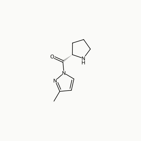 Cc1ccn(C(=O)[C@@H]2CCCN2)n1